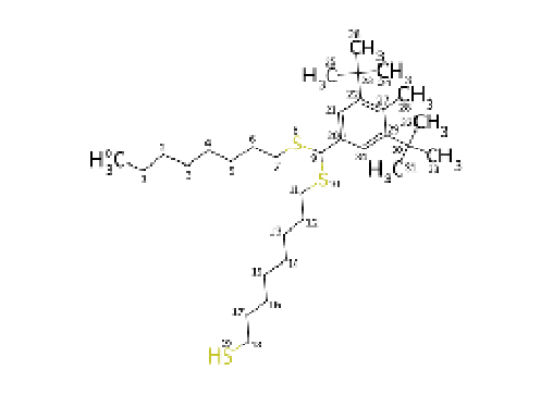 CCCCCCCCSC(SCCCCCCCCS)c1cc(C(C)(C)C)c(C)c(C(C)(C)C)c1